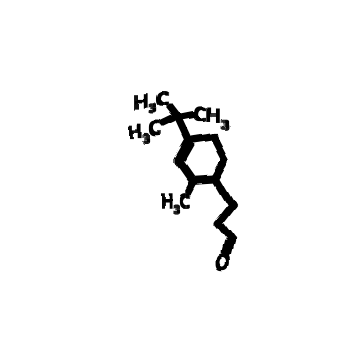 CC1C=C(C(C)(C)C)CCC1CCC=O